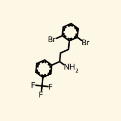 NC(CCc1c(Br)cccc1Br)c1cccc(C(F)(F)F)c1